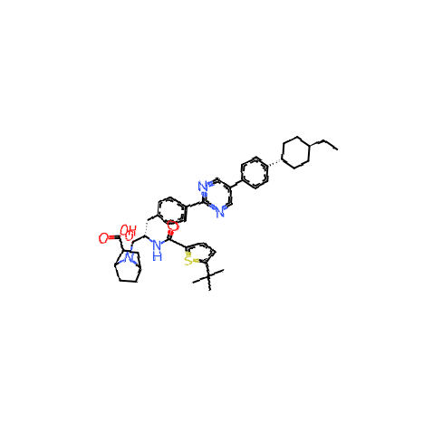 CC[C@H]1CC[C@H](c2ccc(-c3cnc(-c4ccc(C[C@H](NC(=O)c5ccc(C(C)(C)C)s5)C(=O)N5C6CCC5C(C(=O)O)C6)cc4)nc3)cc2)CC1